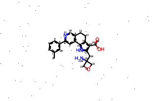 Cc1cccc(-c2cc3c(cn2)CCc2c-3[nH]c(CC3(N)COC3)c2C(=O)O)c1